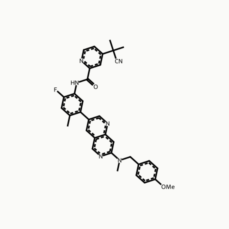 COc1ccc(CN(C)c2cc3ncc(-c4cc(NC(=O)c5cc(C(C)(C)C#N)ccn5)c(F)cc4C)cc3cn2)cc1